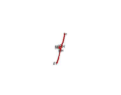 CCC=CCC=CCC=CCC=CCC=CCC=CCCC(=O)NCCC(CCNC(=O)CCC=CCC=CCC=CCC=CCC=CCC=CCC)C(=O)OC(CO)CO